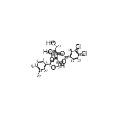 Cc1ccc(C2OC[C@@H]3OC(c4ccc(Cl)c(Cl)c4)O[C@H]([C@H](O)CO)[C@@H]3O2)cc1C